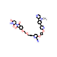 Cn1c2ccncc2c2ccc(-c3ccc(OC4CC(Oc5ccc(C#CCOCCOc6ccc7c(c6)C(=O)N(C6CCC(=O)NC6=O)C7=O)nc5C#N)C4)nc3)cc21